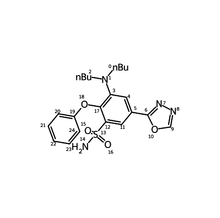 CCCCN(CCCC)c1cc(-c2nnco2)cc(S(N)(=O)=O)c1Oc1ccccc1